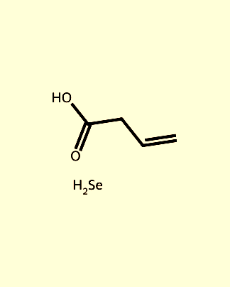 C=CCC(=O)O.[SeH2]